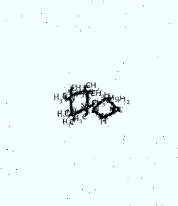 C1=Cc2cc3ccc(cc4nc(cc5ccc(cc1n2)[nH]5)C=C4)[nH]3.CCC1=C(CC)c2cc3[nH]c(cc4nc(cc5[nH]c(cc1n2)c(CC)c5CC)C(CC)=C4CC)c(CC)c3CC.[MgH2]